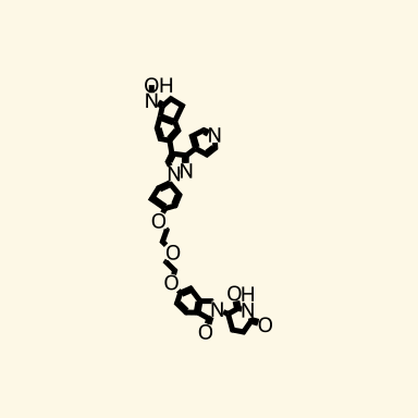 O=C1CCC(N2Cc3cc(OCCOCCOc4ccc(-n5cc(-c6ccc7c(c6)CC/C7=N\O)c(-c6ccncc6)n5)cc4)ccc3C2=O)C(=O)N1